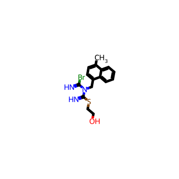 Cc1ccc(CN(C(=N)Br)C(=N)SCCO)c2ccccc12